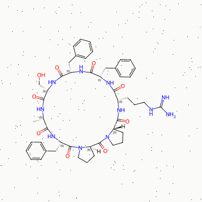 C[C@@H]1NC(=O)[C@H](CO)NC(=O)[C@H](Cc2ccccc2)NC(=O)[C@H](Cc2ccccc2)NC(=O)[C@H](CCCNC(=N)N)NC(=O)[C@@H]2CCCN2C(=O)[C@H]2CCCN2C(=O)[C@H](Cc2ccccc2)NC1=O